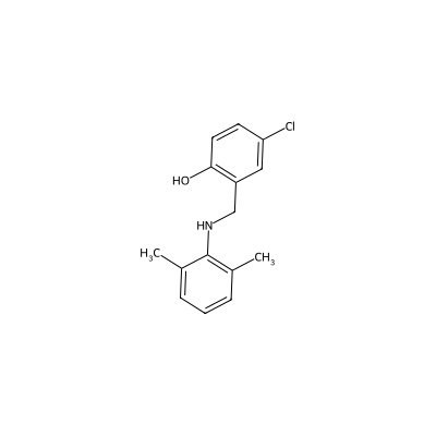 Cc1cccc(C)c1NCc1cc(Cl)ccc1O